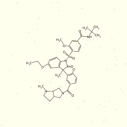 CCOc1ccc2c(c1)C(C)(c1cc(C(=O)N3CC4CCN(C)C4C3)ccc1Cl)C(=O)N2S(=O)(=O)c1ccc(C(=O)NC(C)(C)C)cc1OC